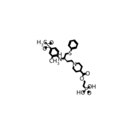 Cc1cc(S(C)(=O)=O)ccc1N[C@H](CCN1CCC(C(=O)OCCP(=O)(O)O)CC1)CSc1ccccc1